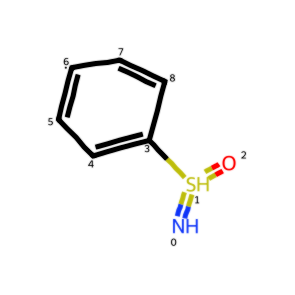 N=[SH](=O)c1cc[c]cc1